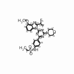 C=CS(=O)(=O)Nc1ccc(-c2nc(N3CCOCC3)nc(-n3c(C(F)F)nc4c(OC)cccc43)n2)cc1